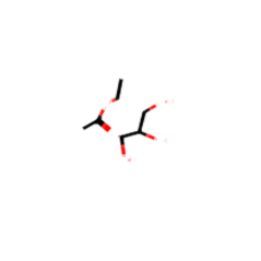 CCOC(C)=O.OCC(O)CO